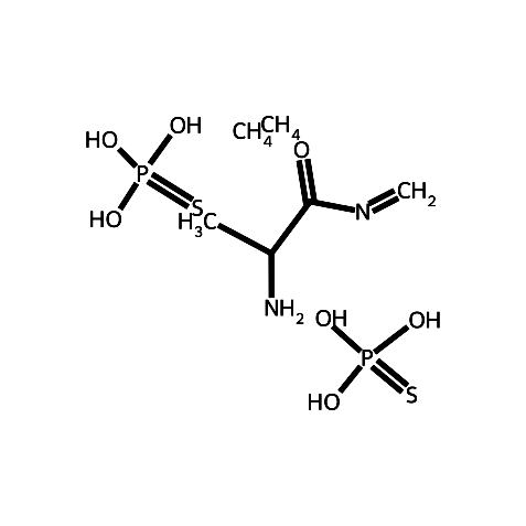 C.C.C=NC(=O)C(C)N.OP(O)(O)=S.OP(O)(O)=S